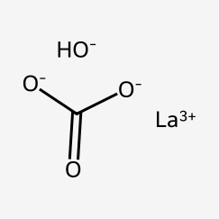 O=C([O-])[O-].[La+3].[OH-]